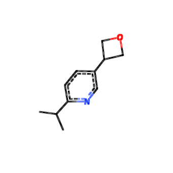 CC(C)c1ccc(C2COC2)cn1